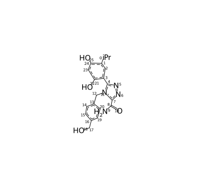 CC(C)c1cc(-c2nnc(C(N)=O)n2Cc2ccc(CO)cc2)c(O)cc1O